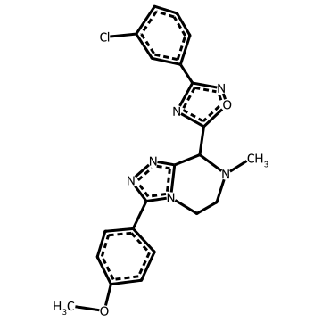 COc1ccc(-c2nnc3n2CCN(C)C3c2nc(-c3cccc(Cl)c3)no2)cc1